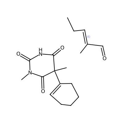 CC/C=C(\C)C=O.CN1C(=O)NC(=O)C(C)(C2=CCCCC2)C1=O